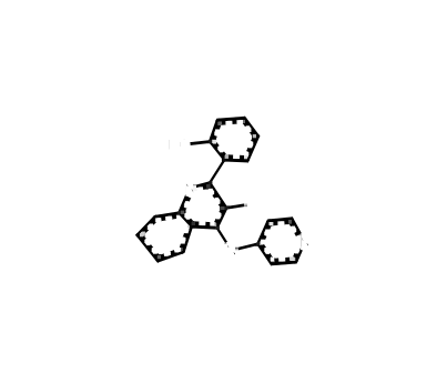 Cc1ccccc1-c1nc2ccccc2c(Nc2ccncc2)c1F